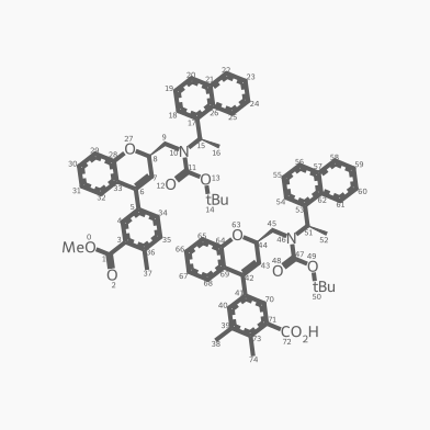 COC(=O)c1cc(C2=C[C@H](CN(C(=O)OC(C)(C)C)[C@H](C)c3cccc4ccccc34)Oc3ccccc32)ccc1C.Cc1cc(C2=C[C@H](CN(C(=O)OC(C)(C)C)[C@H](C)c3cccc4ccccc34)Oc3ccccc32)cc(C(=O)O)c1C